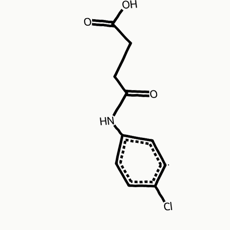 O=C(O)CCC(=O)Nc1c[c]c(Cl)cc1